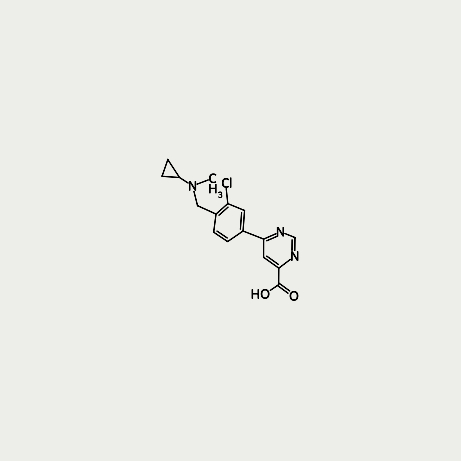 CN(Cc1ccc(-c2cc(C(=O)O)ncn2)cc1Cl)C1CC1